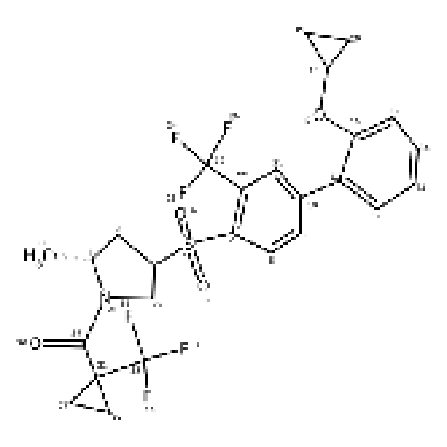 C[C@@H]1CC(S(=O)(=O)c2ccc(-c3ccccc3OC3CC3)cc2C(F)(F)F)CN1C(=O)C1(C(F)(F)F)CC1